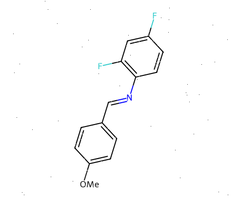 COc1ccc(/C=N/c2ccc(F)cc2F)cc1